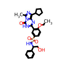 CCOc1ccc(S(=O)(=O)NC(CO)c2ccccc2)cc1-c1nc2c(C3CCCC3)nc(C)n2c(=O)[nH]1